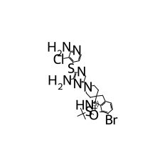 CC(C)(C)[S+]([O-])N[C@@H]1c2cc(Br)ccc2CC12CCN(c1cnc(Sc3ccnc(N)c3Cl)c(N)n1)CC2